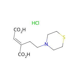 Cl.O=C(O)/C=C(\CCN1CCSCC1)C(=O)O